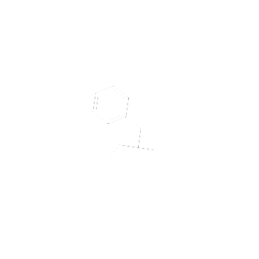 C[C@](O)(CO)Cc1ccccc1